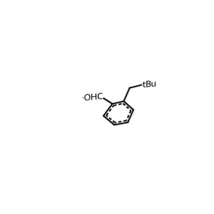 CC(C)(C)Cc1ccccc1[C]=O